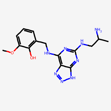 COc1cccc(CNc2nc(NCC(C)N)nc3[nH]nnc23)c1O